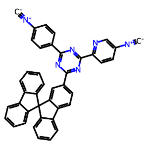 [C-]#[N+]c1ccc(-c2nc(-c3ccc4c(c3)C3(c5ccccc5-c5ccccc53)c3ccccc3-4)nc(-c3ccc([N+]#[C-])cn3)n2)cc1